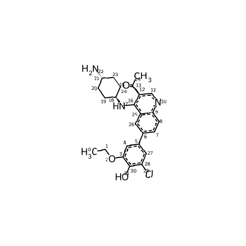 CCOc1cc(-c2ccc3ncc(C(C)=O)c(N[C@H]4CC[C@H](N)CC4)c3c2)cc(Cl)c1O